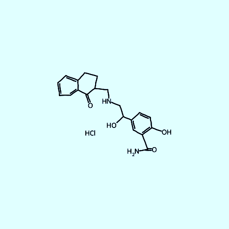 Cl.NC(=O)c1cc(C(O)CNCC2CCc3ccccc3C2=O)ccc1O